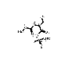 CC(C)C[C@H](NC(=O)OC(C)(C)C)C(=O)N[SH](C)(=O)C=O